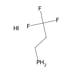 FC(F)(F)CCP.I